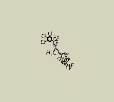 C=CC(=C\C=C(/CBr)C(=O)NC1(C(=O)NCC(F)(F)F)CC1)/C(F)=C/C(c1cc(Cl)c(Cl)c(Cl)c1)C(F)(F)F